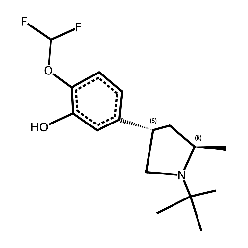 C[C@@H]1C[C@@H](c2ccc(OC(F)F)c(O)c2)CN1C(C)(C)C